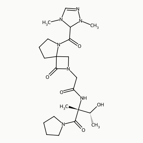 C[C@@H](O)[C@@](C)(NC(=O)CN1CC2(CCCN2C(=O)C2N(C)C=NN2C)C1=O)C(=O)N1CCCC1